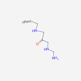 CCCCCCNCC(=O)CNCN